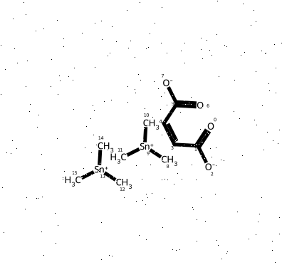 O=C([O-])/C=C\C(=O)[O-].[CH3][Sn+]([CH3])[CH3].[CH3][Sn+]([CH3])[CH3]